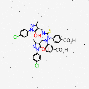 Cc1nn(-c2ccc(Cl)cc2)c(O)c1C=NC(=S)N(c1ccc(C(=O)O)cc1)[N+](=Cc1c(C)nn(-c2ccc(Cl)cc2)c1O)c1cccc(C(=O)O)c1